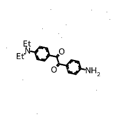 CCN(CC)c1ccc(C(=O)C(=O)c2ccc(N)cc2)cc1